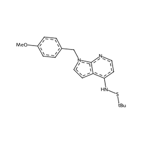 COc1ccc(Cn2ccc3c(NSC(C)(C)C)ccnc32)cc1